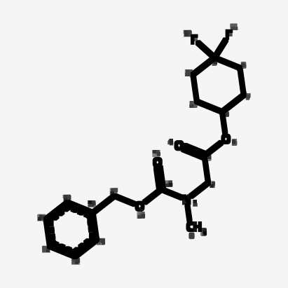 CN(CC(=O)OC1CCC(F)(F)CC1)C(=O)OCc1ccccc1